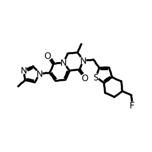 Cc1cn(-c2ccc3n(c2=O)CC(C)N(Cc2cc4c(s2)CCC(CF)C4)C3=O)cn1